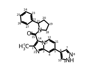 Cc1nc2cc(-c3cn[nH]c3)ccn2c1C(=O)N1CCCC1c1ccccc1